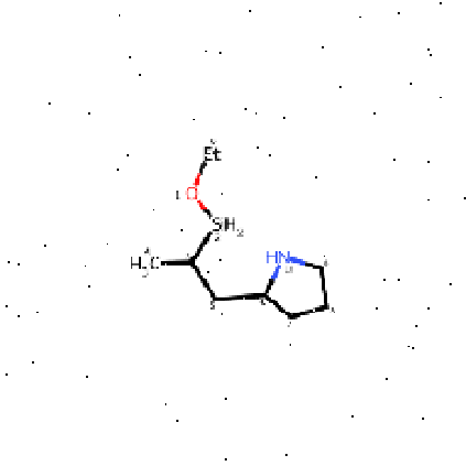 CCO[SiH2]C(C)CC1CCCN1